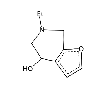 CCN1Cc2occc2C(O)C1